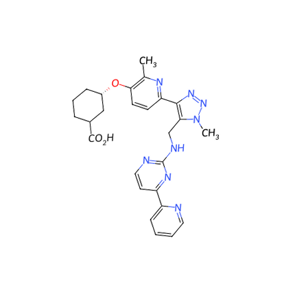 Cc1nc(-c2nnn(C)c2CNc2nccc(-c3ccccn3)n2)ccc1O[C@H]1CCCC(C(=O)O)C1